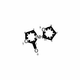 O=c1[nH]cco1.c1ccoc1